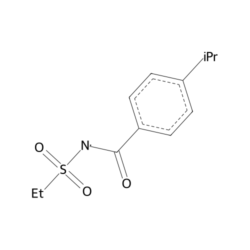 CCS(=O)(=O)[N]C(=O)c1ccc(C(C)C)cc1